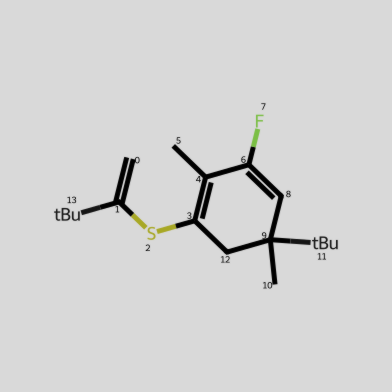 C=C(SC1=C(C)C(F)=CC(C)(C(C)(C)C)C1)C(C)(C)C